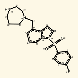 O=S(=O)(c1ccc(F)cc1)n1ccc2c(CN3CCCNCC3)cccc21